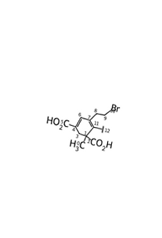 CC1(C(=O)O)CC(C(=O)O)=CC(CCBr)=C1I